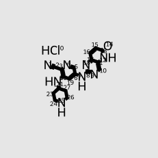 Cl.N#Cc1ncc(Nc2ncc3[nH]c(=O)ccc3n2)cc1NC1CCNCC1